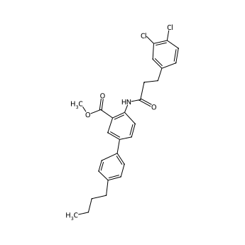 CCCCc1ccc(-c2ccc(NC(=O)CCc3ccc(Cl)c(Cl)c3)c(C(=O)OC)c2)cc1